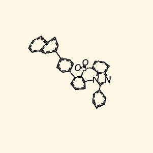 O=S1(=O)c2c(-c3ccc(-c4ccc5ccccc5c4)cc3)cccc2-n2c(-c3ccccc3)nc3cccc1c32